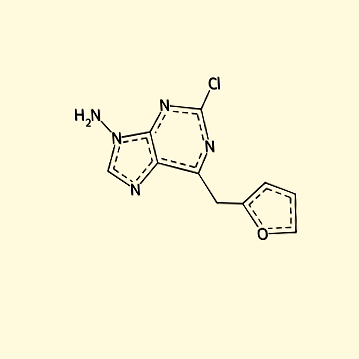 Nn1cnc2c(Cc3ccco3)nc(Cl)nc21